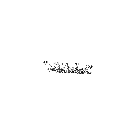 COc1ccc(NC(=O)[C@H](CCCCN)NC(=O)c2cc(NC(=O)[C@H](CCCCN)NC(=O)c3cc(NC(=O)[C@H](CCCCN)NC(=O)c4cc(NC(=O)[C@@H](N)CCCCCN)ccc4OC)ccc3OC)ccc2OC)cc1C(=O)NCC(=O)O